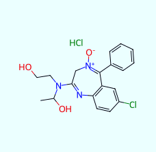 CC(O)N(CCO)C1=Nc2ccc(Cl)cc2C(c2ccccc2)=[N+]([O-])C1.Cl